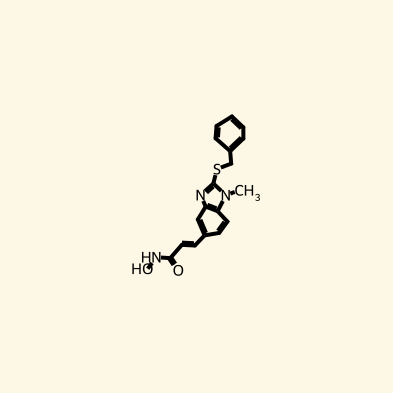 Cn1c(SCc2ccccc2)nc2cc(C=CC(=O)NO)ccc21